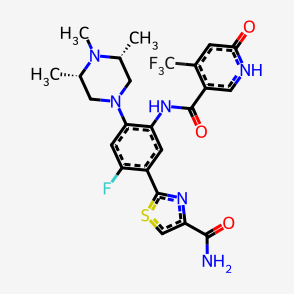 C[C@@H]1CN(c2cc(F)c(-c3nc(C(N)=O)cs3)cc2NC(=O)c2c[nH]c(=O)cc2C(F)(F)F)C[C@H](C)N1C